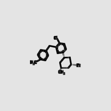 CC[C@@H]1C[C@H](C)C[C@H](c2ccc(Cl)c(Cc3ccc(C)cc3)c2)C1